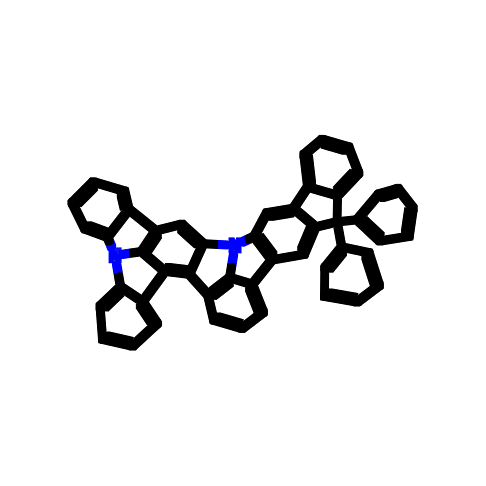 c1ccc(C2(c3ccccc3)c3ccccc3-c3cc4c(cc32)c2cccc3c5c6c7ccccc7n7c8ccccc8c(cc5n4c23)c67)cc1